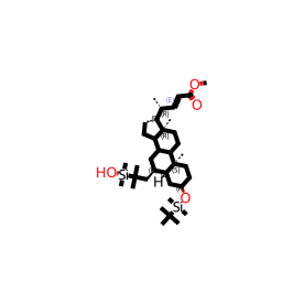 COC(=O)/C=C/[C@@H](C)[C@H]1CCC2C3C[C@H](CC(C)(C)[Si](C)(C)O)[C@@H]4C[C@H](O[Si](C)(C)C(C)(C)C)CC[C@]4(C)C3CC[C@@]21C